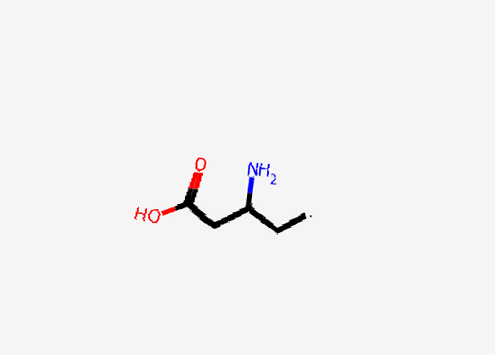 [CH2]CC(N)CC(=O)O